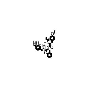 CCOc1ccc(C[C@@H](NC(=O)CC)C(=O)N[C@@H](Cc2ccccc2)C(=O)NCC23CCC(CN)(CC2)CC3)cc1